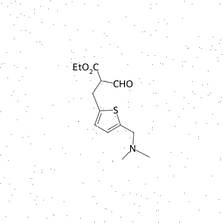 CCOC(=O)C(C=O)Cc1ccc(CN(C)C)s1